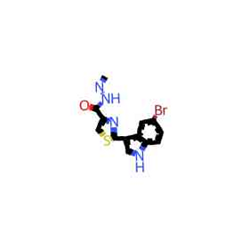 C=NNC(=O)c1csc(-c2c[nH]c3ccc(Br)cc23)n1